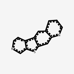 c1cnc2cc3sc4cnccc4c3cc2c1